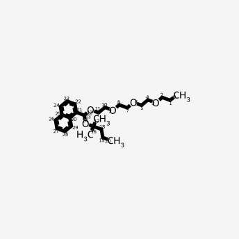 CCCOCCOCCOCCOC(OC(C)(C)CCC)c1cccc2ccccc12